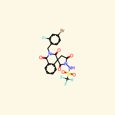 O=C1c2ccccc2C2(CC(=O)N(NS(=O)(=O)C(F)(F)F)C2=O)C(=O)N1Cc1ccc(Br)cc1F